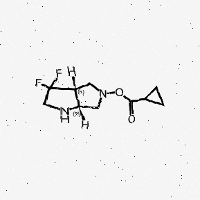 O=C(ON1C[C@@H]2NCC(F)(F)[C@@H]2C1)C1CC1